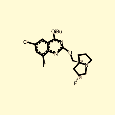 CC(C)COc1nc(OC[C@@]23CCCN2C[C@H](F)C3)nc2c(F)cc(Cl)cc12